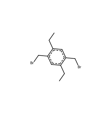 CCc1cc(CBr)c(CC)cc1CBr